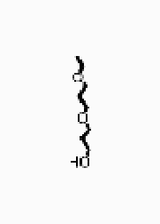 CCOCCCOCCCO